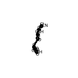 CC1(C)[C@H](NC(=O)c2ccc(N3CCN(CCCCCOc4ccc5c(c4)C(=O)N(C4CCC(=O)NC4=O)C5=O)C(=O)C3)nc2)C(C)(C)[C@H]1Oc1ccc(C#N)c(Cl)c1